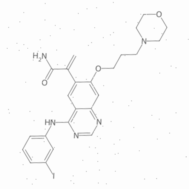 C=C(C(N)=O)c1cc2c(Nc3cccc(I)c3)ncnc2cc1OCCCN1CCOCC1